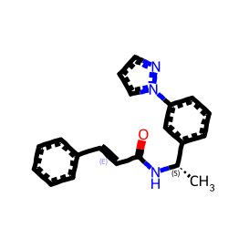 C[C@H](NC(=O)/C=C/c1ccccc1)c1cccc(-n2cccn2)c1